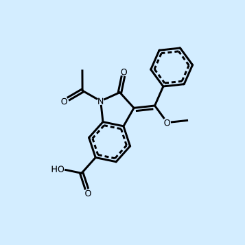 COC(=C1C(=O)N(C(C)=O)c2cc(C(=O)O)ccc21)c1ccccc1